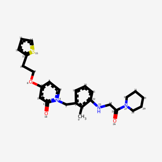 Cc1c(Cn2ccc(OCCc3cccs3)cc2=O)cccc1NCC(=O)N1CCCCC1